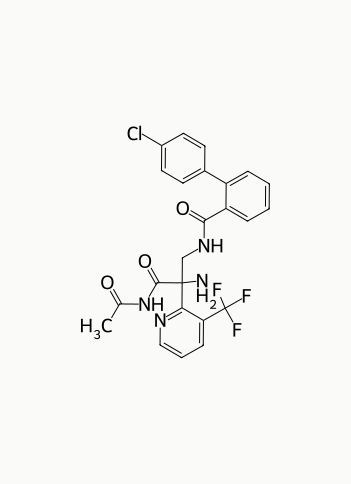 CC(=O)NC(=O)C(N)(CNC(=O)c1ccccc1-c1ccc(Cl)cc1)c1ncccc1C(F)(F)F